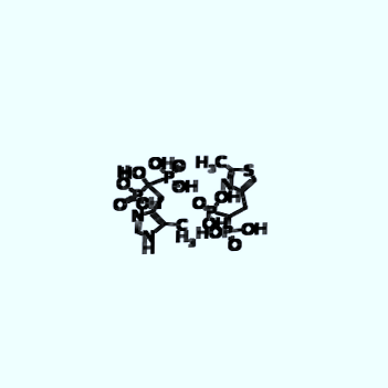 Cc1[nH]cnc1CC(O)(P(=O)(O)O)P(=O)(O)O.Cc1nc(CC(P(=O)(O)O)P(=O)(O)O)cs1